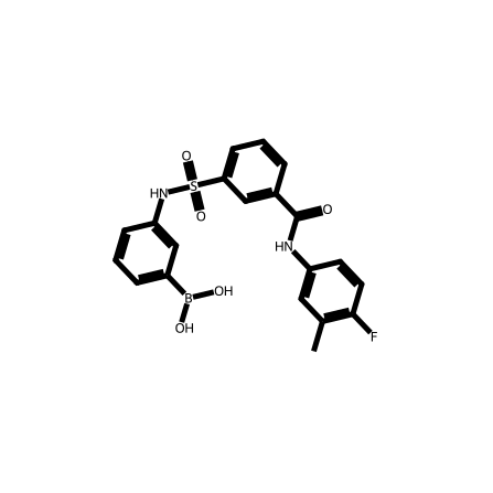 Cc1cc(NC(=O)c2cccc(S(=O)(=O)Nc3cccc(B(O)O)c3)c2)ccc1F